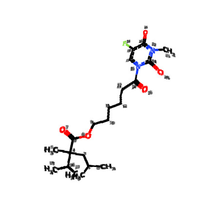 CC(C)CC(C)(C(=O)OCCCCCC(=O)n1cc(F)c(=O)n(C)c1=O)C(C)C